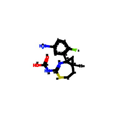 Nc1ccc(F)c([C@@]23C[C@@H]2CCSC(NC(=O)O)=N3)c1